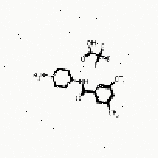 N[C@H]1CC[C@@H](NC(=O)c2cc(C(F)(F)F)cc(C(F)(F)F)c2)CC1.O=C(O)C(F)(F)F